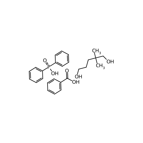 CC(C)(CO)CCCO.O=C(O)c1ccccc1.O=P(O)(c1ccccc1)c1ccccc1